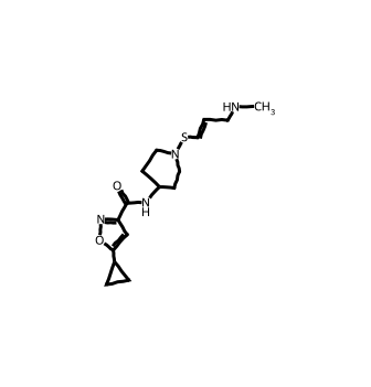 CNC/C=C/SN1CCC(NC(=O)c2cc(C3CC3)on2)CC1